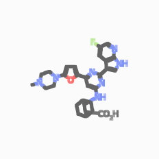 CN1CCN(c2ccc(-c3cc(NC4C5CCC(CC5)C4C(=O)O)nc(-c4c[nH]c5ncc(F)cc45)n3)o2)CC1